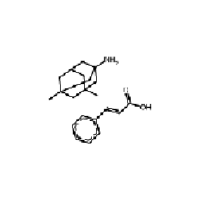 CC12CC3CC(C)(C1)CC(N)(C3)C2.O=C(O)C=Cc1ccccc1